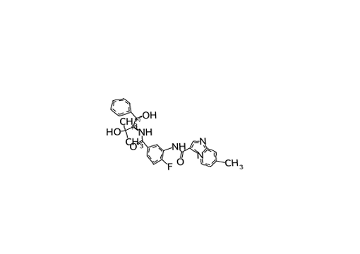 Cc1ccn2c(C(=O)Nc3cc(C(=O)N[C@H]([C@H](O)c4ccccc4)C(C)(C)O)ccc3F)cnc2c1